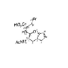 CC(=O)N[C@@H](CC1CC=CS1)C(=O)N[C@@H](CC(C)C)C(=O)O